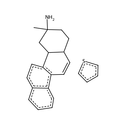 CC1(N)CCC2C=Cc3c(ccc4ccccc34)C2C1.c1ccsc1